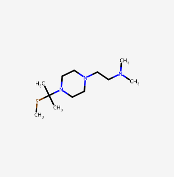 CSC(C)(C)N1CCN(CCN(C)C)CC1